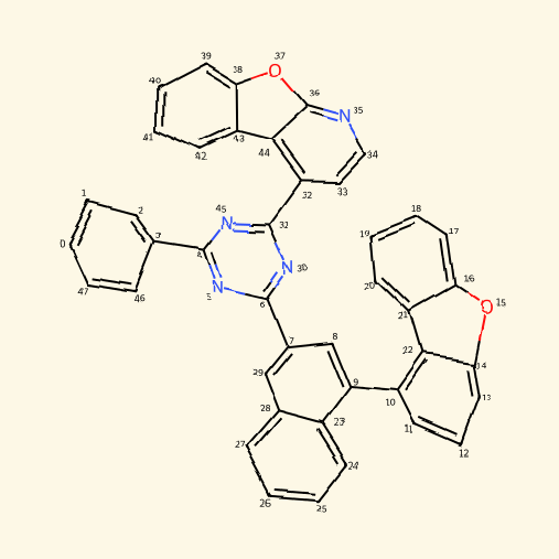 c1ccc(-c2nc(-c3cc(-c4cccc5oc6ccccc6c45)c4ccccc4c3)nc(-c3ccnc4oc5ccccc5c34)n2)cc1